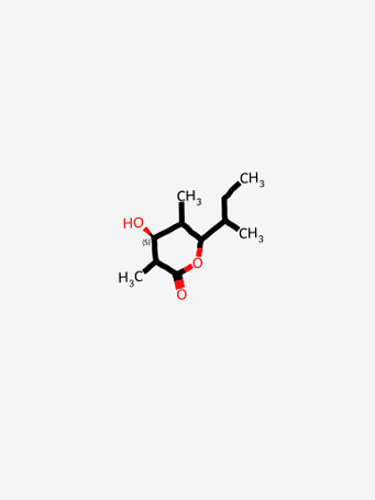 CCC(C)C1OC(=O)C(C)[C@@H](O)C1C